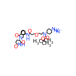 CC(C)(C)OC(=O)N(CCCOCCC(=O)Nc1cccc2c1CN(C1CCC(=O)NC1=O)C2=O)[C@H]1CC[C@@H](N=[N+]=[N-])CC1